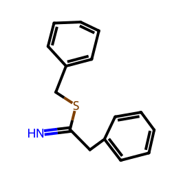 N=C(Cc1ccccc1)SCc1ccccc1